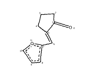 O=C1CCCC1=Cc1ccco1